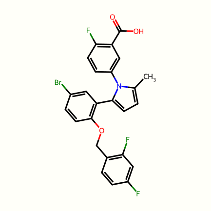 Cc1ccc(-c2cc(Br)ccc2OCc2ccc(F)cc2F)n1-c1ccc(F)c(C(=O)O)c1